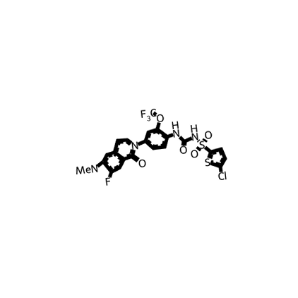 CNc1cc2ccn(-c3ccc(NC(=O)NS(=O)(=O)c4ccc(Cl)s4)c(OC(F)(F)F)c3)c(=O)c2cc1F